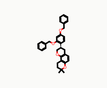 CC1(C)CCc2c(ccc3c2OC[C@@H](c2ccc(OCc4ccccc4)cc2OCc2ccccc2)C3)O1